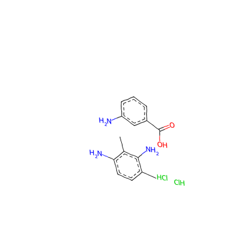 Cc1ccc(N)c(C)c1N.Cl.Cl.Nc1cccc(C(=O)O)c1